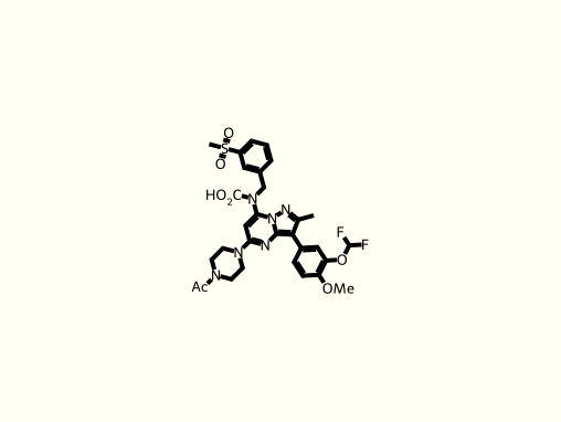 COc1ccc(-c2c(C)nn3c(N(Cc4cccc(S(C)(=O)=O)c4)C(=O)O)cc(N4CCN(C(C)=O)CC4)nc23)cc1OC(F)F